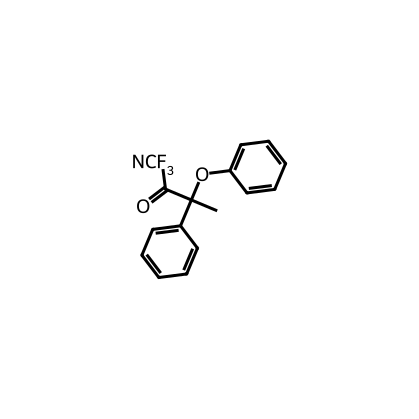 CC(Oc1ccccc1)(C(=O)NC(F)(F)F)c1ccccc1